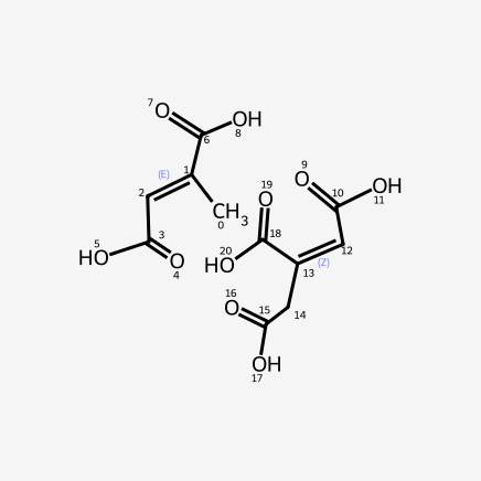 C/C(=C\C(=O)O)C(=O)O.O=C(O)/C=C(/CC(=O)O)C(=O)O